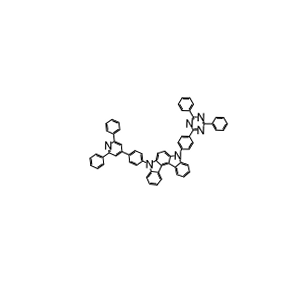 c1ccc(-c2cc(-c3ccc(-n4c5ccccc5c5c6c7ccccc7n(-c7ccc(-c8nc(-c9ccccc9)nc(-c9ccccc9)n8)cc7)c6ccc54)cc3)cc(-c3ccccc3)n2)cc1